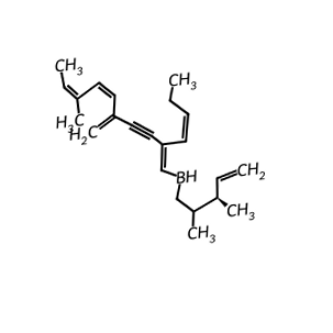 C=C[C@@H](C)C(C)CB/C=C(C#CC(=C)/C=C\C(C)=C/C)\C=C/CC